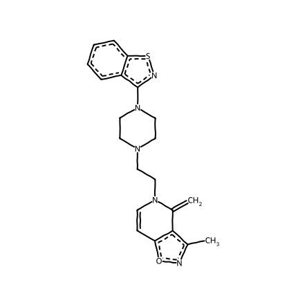 C=C1c2c(C)noc2C=CN1CCN1CCN(c2nsc3ccccc23)CC1